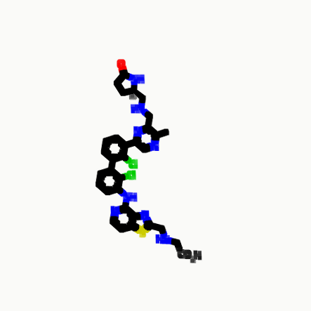 Cc1ncc(-c2cccc(-c3cccc(Nc4nccc5sc(CNCC(=O)O)nc45)c3Cl)c2Cl)nc1CNC[C@H]1CCC(=O)N1